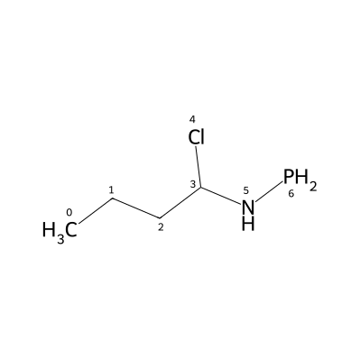 CCCC(Cl)NP